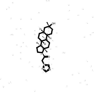 C[C@@]1(O)CC[C@H]2[C@H](CC[C@H]3[C@@H]4CC[C@H](C(=O)Cn5cncn5)[C@@]4(C)CC[C@]23C)C1